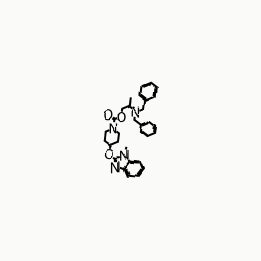 CC(COC(=O)N1CCC(Oc2nc3ccccc3n2C)CC1)N(Cc1ccccc1)Cc1ccccc1